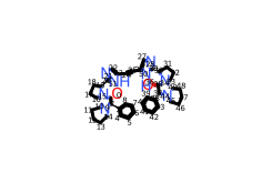 O=C([C@@H](c1ccccc1)N1CCCCC1)N1CCC[C@H]1c1ncc(C#Cc2cnc([C@@H]3CCCN3C(=O)[C@@H](c3ccccc3)N3CCCCC3)[nH]2)[nH]1